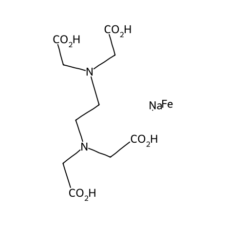 O=C(O)CN(CCN(CC(=O)O)CC(=O)O)CC(=O)O.[Fe].[Na]